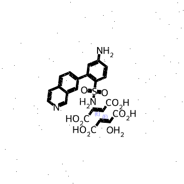 Nc1ccc(S(N)(=O)=O)c(-c2ccc3ccncc3c2)c1.O.O=C(O)/C=C/C(=O)O.O=C(O)/C=C/C(=O)O